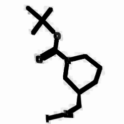 CC(C)(C)OC(=O)N1CCC[C@@H]([CH2][Zn][I])C1